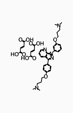 CN(C)CCCOc1ccc(-c2nn(-c3cccc(OCCCN(C)C)c3)c3ncccc23)cc1.O=C(O)/C=C/C(=O)O.O=C(O)/C=C/C(=O)O